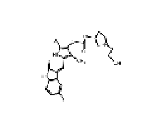 Cc1[nH]c(/C=C2\C(=O)Nc3ccc(F)cc32)c(C)c1OC(=O)N[C@H]1CCN(CCO)C1